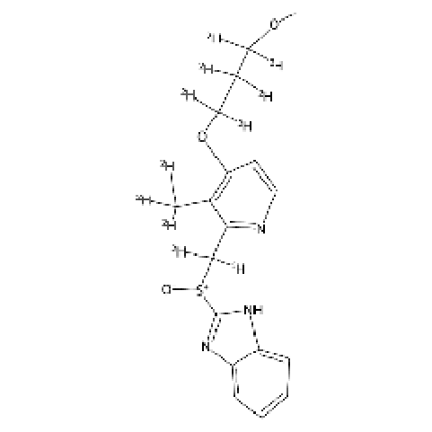 [2H]C([2H])([2H])c1c(OC([2H])([2H])C([2H])([2H])C([2H])([2H])OC)ccnc1C([2H])([2H])[S+]([O-])c1nc2ccccc2[nH]1